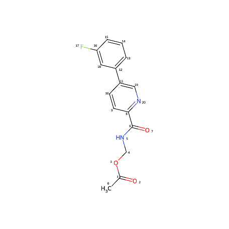 CC(=O)OCNC(=O)c1ccc(-c2cccc(F)c2)cn1